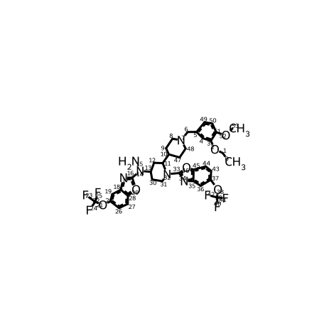 CCOc1cc(CN2CCC(C3CC(N(N)c4nc5cc(OC(F)(F)F)ccc5o4)CCN3c3nc4cc(OC(F)(F)F)ccc4o3)CC2)ccc1OC